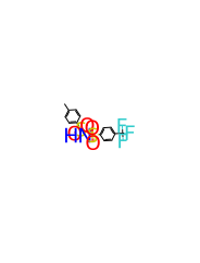 Cc1ccc(S(=O)(=O)NS(=O)(=O)c2ccc(C(F)(F)F)cc2)cc1